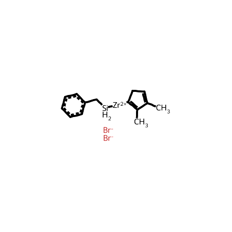 CC1=CC[C]([Zr+2][SiH2]Cc2ccccc2)=C1C.[Br-].[Br-]